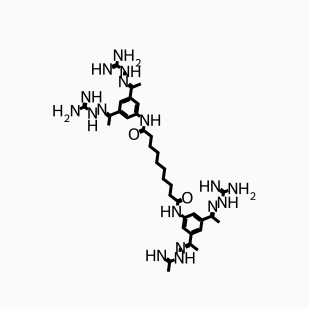 CC(=N)N/N=C(\C)c1cc(NC(=O)CCCCCCCCC(=O)Nc2cc(/C(C)=N/NC(=N)N)cc(/C(C)=N/NC(=N)N)c2)cc(/C(C)=N/NC(=N)N)c1